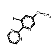 COc1cnc(-c2ncccn2)c(F)c1